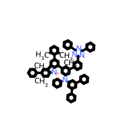 Cc1cccc(C)c1-c1ccc2c(c1)c1cc(-c3c(C)cccc3C)cc3c1n2B1c2ccccc2N(c2cc(-c4ccccc4)cc(-c4ccccc4)c2)c2cc(-c4cccc(-c5nc(-c6ccccc6)nc(-c6ccccc6)n5)c4)c(C)c-3c21